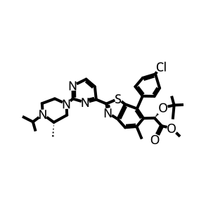 COC(=O)[C@@H](OC(C)(C)C)c1c(C)cc2nc(-c3ccnc(N4CCN(C(C)C)[C@@H](C)C4)n3)sc2c1-c1ccc(Cl)cc1